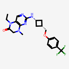 CCN1C(=O)CN(C)c2nc(N[C@H]3C[C@@H](COc4ccc(C(F)(F)F)cc4)C3)ncc21